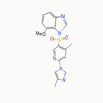 COc1cccc2ncn(S(=O)(=O)c3cnc(-n4cnc(C)c4)cc3C)c12